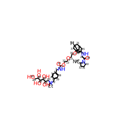 CCN(Cc1ccc(CNC(=O)OCCOCCOC23CC4C[C@@H](CC(NCC(=O)N5CCC[C@H]5C#N)(C4)C2)C3)cc1)C[C@H](O)[C@@H](O)[C@H](O)[C@H](O)CO